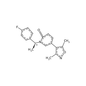 Cc1noc(C)c1-c1ccc(=O)n([C@@H](C)c2ccc(F)cc2)c1